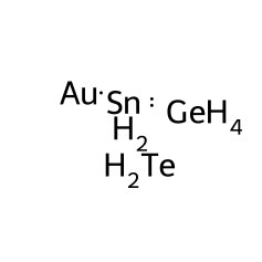 [Au].[GeH4].[SnH2].[TeH2]